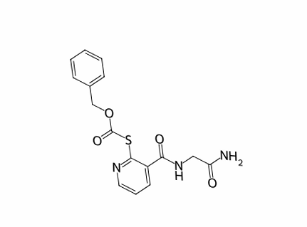 NC(=O)CNC(=O)c1cccnc1SC(=O)OCc1ccccc1